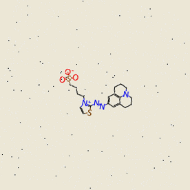 O=S(=O)([O-])CCCC[n+]1ccsc1/N=N/c1cc2c3c(c1)CCCN3CCC2